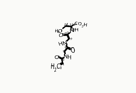 C=CC(=O)NCC(=O)NCC(=O)NC(CO)C(=O)O